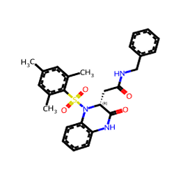 Cc1cc(C)c(S(=O)(=O)N2c3ccccc3NC(=O)[C@H]2CC(=O)NCc2ccccc2)c(C)c1